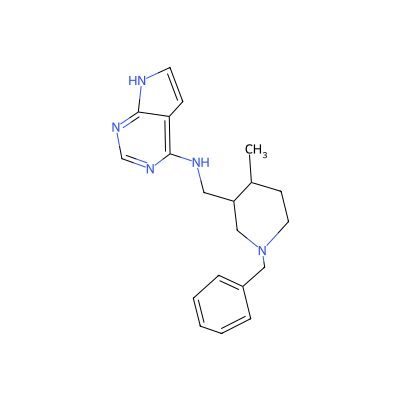 CC1CCN(Cc2ccccc2)CC1CNc1ncnc2[nH]ccc12